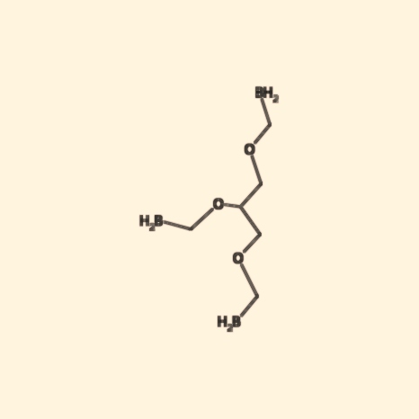 BCOCC(COCB)OCB